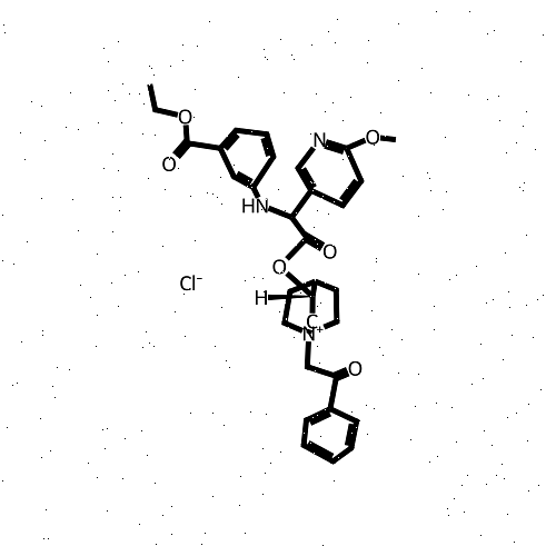 CCOC(=O)c1cccc(NC(C(=O)O[C@H]2C[N+]3(CC(=O)c4ccccc4)CCC2CC3)c2ccc(OC)nc2)c1.[Cl-]